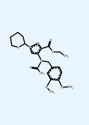 CCOC(=O)c1nn(C2CCCCO2)cc1N(Cc1ccc(OC)c(OC)c1)C(C)=O